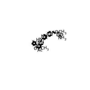 CC(=O)c1c(C)c2cnc(Nc3ccc(N4CCN(CCOC(C)OC(N)=O)CC4)cn3)nc2n(C2CCCC2)c1=O